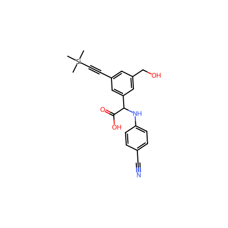 C[Si](C)(C)C#Cc1cc(CO)cc(C(Nc2ccc(C#N)cc2)C(=O)O)c1